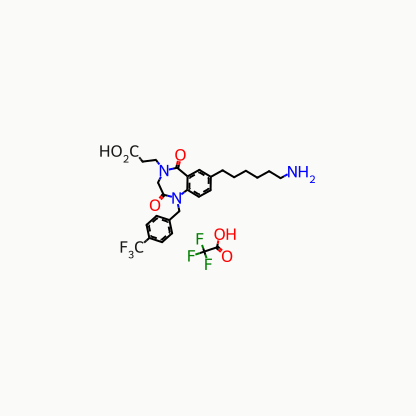 NCCCCCCc1ccc2c(c1)C(=O)N(CCC(=O)O)CC(=O)N2Cc1ccc(C(F)(F)F)cc1.O=C(O)C(F)(F)F